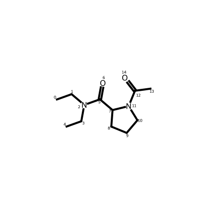 CCN(CC)C(=O)C1CCCN1C(C)=O